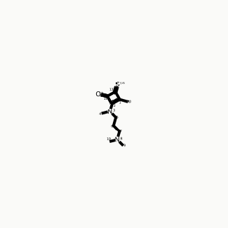 Cc1c(N(C)CCCN(C)C)c(=O)c1=S